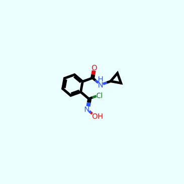 O=C(NC1CC1)c1ccccc1/C(Cl)=N/O